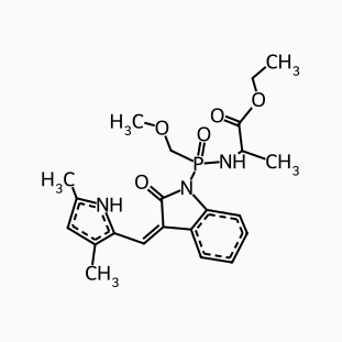 CCOC(=O)C(C)NP(=O)(COC)N1C(=O)/C(=C\c2[nH]c(C)cc2C)c2ccccc21